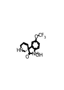 Cl.O=C1Nc2ccc(OC(F)(F)F)cc2[C@]12C=CCNC2